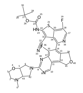 CN1CCOC2CN(c3ncc4c5c(c(-c6ncc(F)c7sc(NC(=O)OC(C)(C)C)c(C#N)c67)c(F)c4n3)COC5)CC21